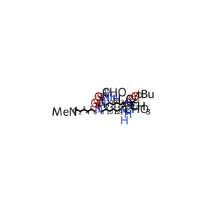 CNCCCCCCN(CCCCCCNC=O)C(=O)N(CCCCCCNC(C)(C)COC(C)(C)C)C(=O)NC=O